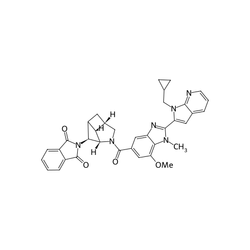 COc1cc(C(=O)N2C[C@H]3CC4[C@H]3[C@H]2[C@H]4N2C(=O)c3ccccc3C2=O)cc2nc(-c3cc4cccnc4n3CC3CC3)n(C)c12